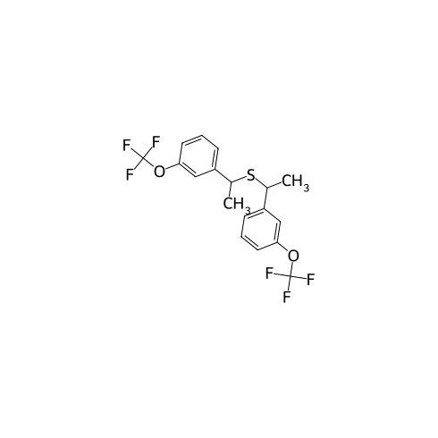 CC(SC(C)c1cccc(OC(F)(F)F)c1)c1cccc(OC(F)(F)F)c1